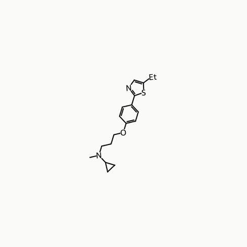 CCc1cnc(-c2ccc(OCCCN(C)C3CC3)cc2)s1